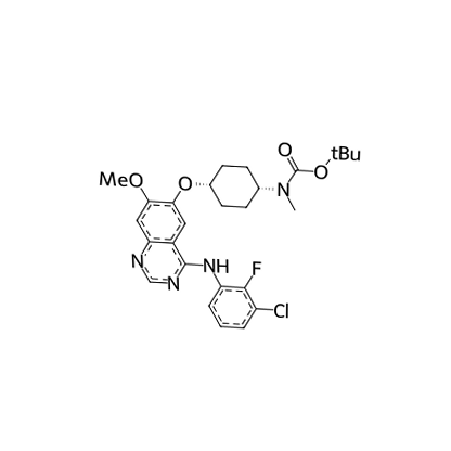 COc1cc2ncnc(Nc3cccc(Cl)c3F)c2cc1O[C@H]1CC[C@@H](N(C)C(=O)OC(C)(C)C)CC1